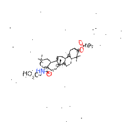 CCCC(=O)O[C@@H]1CC[C@@]2(C)C(CC[C@]3(C)C2CC=C2C4CC(C)(C)CC[C@]4(C(=O)NCC(=O)O)CC[C@]23C)C1(C)C